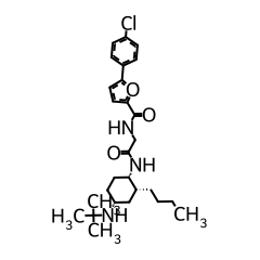 CCCC[C@@H]1C[C@H](NC(C)(C)C)CC[C@@H]1NC(=O)CNC(=O)c1ccc(-c2ccc(Cl)cc2)o1